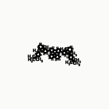 CC(C)(C)c1ccc(N2c3ccc(-c4ccc5c(c4)C(c4ccccc4)(c4ccccc4)c4cc(-c6ccc7c(c6)C6(C)CCCCC6(C)N7c6ccc(C(C)(C)C)cc6)ccc4-5)cc3C3(C)CCCCC23C)cc1